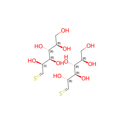 OC[C@@H](O)[C@@H](O)[C@@H](O)[C@@H](O)C=S.OC[C@@H](O)[C@@H](O)[C@@H](O)[C@H](O)C=S